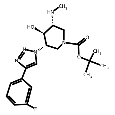 CN[C@@H]1CN(C(=O)OC(C)(C)C)C[C@H](n2cc(-c3cccc(F)c3)nn2)[C@H]1O